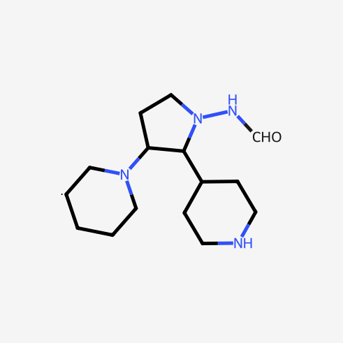 O=CNN1CCC(N2C[CH]CCC2)C1C1CCNCC1